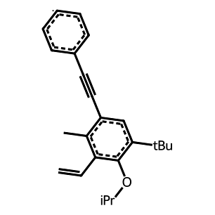 C=Cc1c(C)c(C#Cc2cc[c]cc2)cc(C(C)(C)C)c1OC(C)C